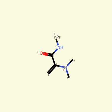 C=C(C(=O)NCCC)N(C)C